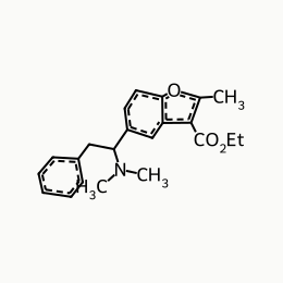 CCOC(=O)c1c(C)oc2ccc(C(Cc3ccccc3)N(C)C)cc12